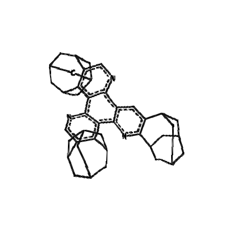 c1nc2c3cc4c(nc3c3c5c(cnc3c2c2c1C1CC3CC(C1)CC2C3)C1CC2CC(C1)CC5C2)C1CC2CC(CC4C2)C1